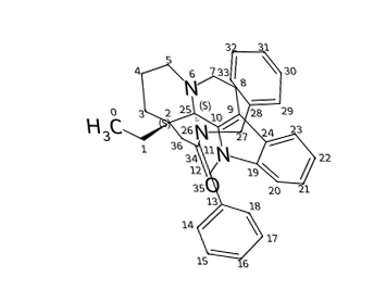 CC[C@@]12CCCN3CCc4c(n(Cc5ccccc5)c5ccccc45)[C@]31N(Cc1ccccc1)C(=O)C2